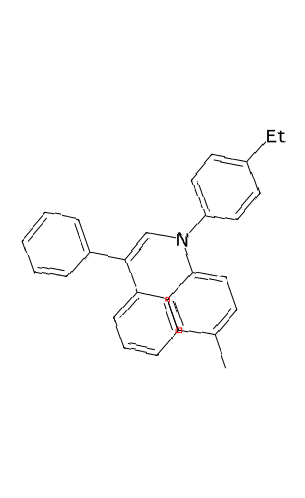 CCc1ccc(N(C=C(c2ccccc2)c2ccccc2)c2ccc(C)cc2)cc1